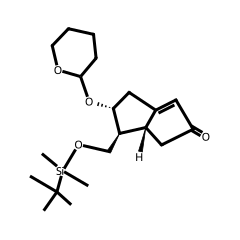 CC(C)(C)[Si](C)(C)OC[C@H]1[C@H](OC2CCCCO2)CC2=CC(=O)C[C@@H]21